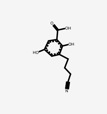 N#CCCCc1cc(O)cc(C(=O)O)c1O